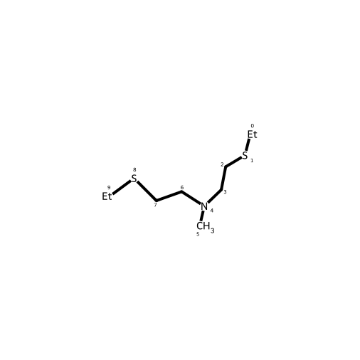 CCSCCN(C)CCSCC